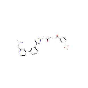 CN(C)Cc1cc(-c2cccc(-c3csc(NC(=O)CNC(=O)c4ccn(S(C)(=O)=O)c4)n3)c2)ccn1